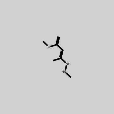 C=C(/C=C(\C)NNC)OC